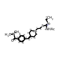 C=C/N=C(/NC(C)=O)SCCN1CCC(=Cc2ccc(C(=O)N(C)C)cc2)CC1